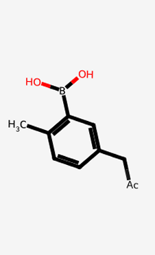 CC(=O)Cc1ccc(C)c(B(O)O)c1